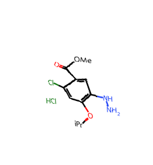 COC(=O)c1cc(NN)c(OC(C)C)cc1Cl.Cl